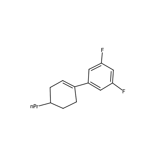 CCCC1CC=C(c2cc(F)cc(F)c2)CC1